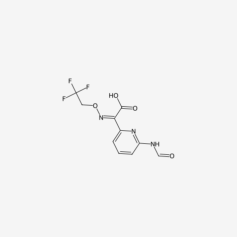 O=CNc1cccc(C(=NOCC(F)(F)F)C(=O)O)n1